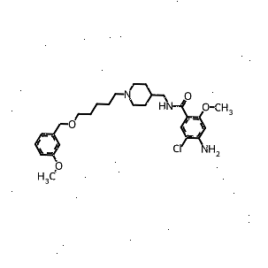 COc1cccc(COCCCCCN2CCC(CNC(=O)c3cc(Cl)c(N)cc3OC)CC2)c1